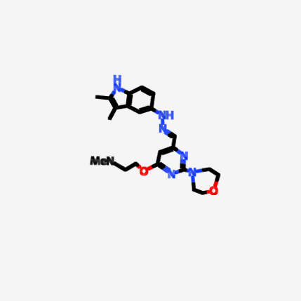 CNCCOc1cc(/C=N/Nc2ccc3[nH]c(C)c(C)c3c2)nc(N2CCOCC2)n1